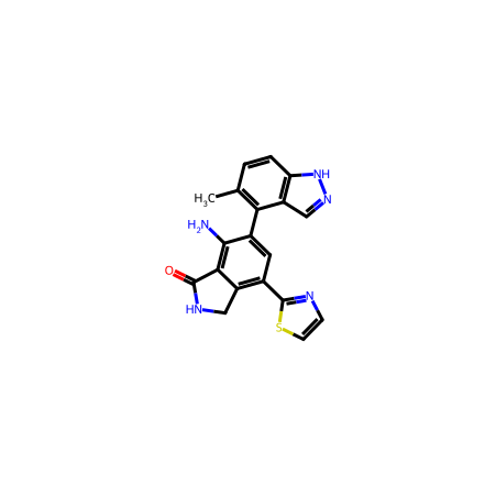 Cc1ccc2[nH]ncc2c1-c1cc(-c2nccs2)c2c(c1N)C(=O)NC2